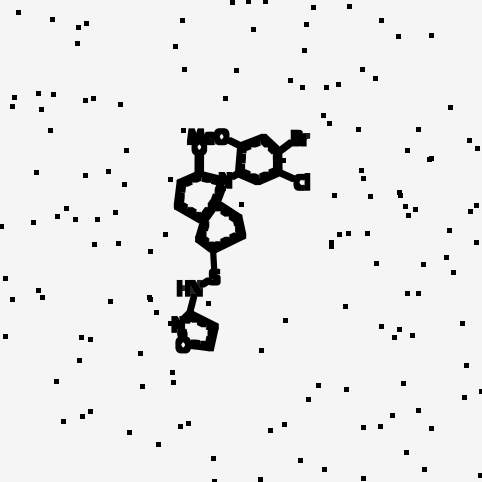 COc1cc(Br)c(Cl)cc1-n1c(=O)ccc2cc(SNc3ccon3)ccc21